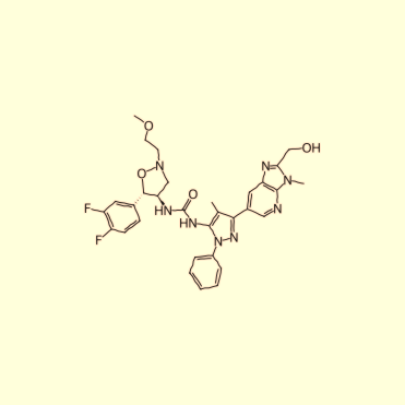 COCCN1C[C@@H](NC(=O)Nc2c(C)c(-c3cnc4c(c3)nc(CO)n4C)nn2-c2ccccc2)[C@H](c2ccc(F)c(F)c2)O1